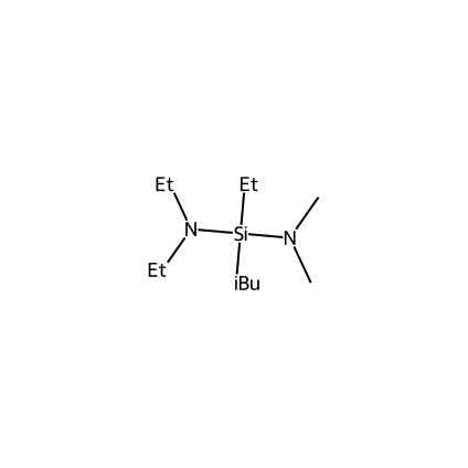 CCC(C)[Si](CC)(N(C)C)N(CC)CC